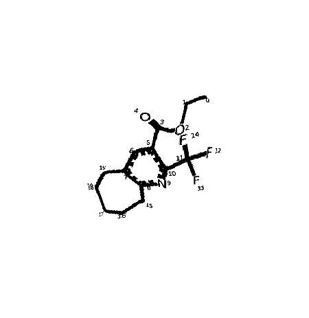 CCOC(=O)c1cc2c(nc1C(F)(F)F)CCCCC2